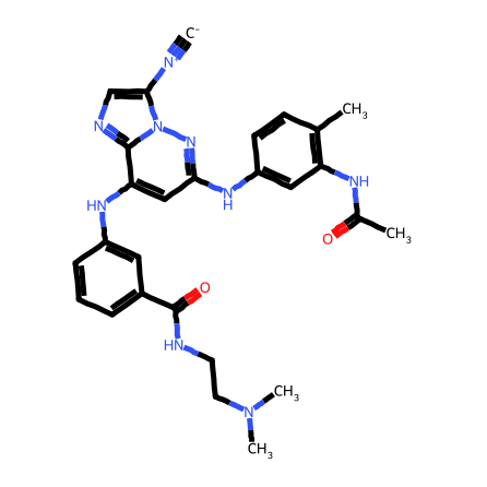 [C-]#[N+]c1cnc2c(Nc3cccc(C(=O)NCCN(C)C)c3)cc(Nc3ccc(C)c(NC(C)=O)c3)nn12